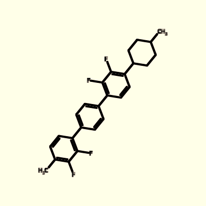 Cc1ccc(-c2ccc(-c3ccc(C4CCC(C)CC4)c(F)c3F)cc2)c(F)c1F